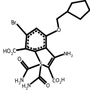 NC(=O)S1(C(N)=O)C(C(=O)O)=C(N)c2c(OCC3CCCC3)cc(Br)c(C(=O)O)c21